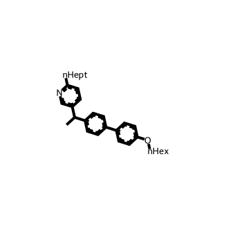 CCCCCCCc1ccc(C(C)c2ccc(-c3ccc(OCCCCCC)cc3)cc2)cn1